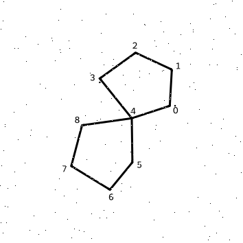 [CH]1CC[CH]C12CCCC2